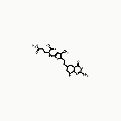 Cc1cc(N[C@@H](CCC(N)=O)C(=O)O)sc1CCC1CNc2nc(N)[nH]c(=O)c2C1